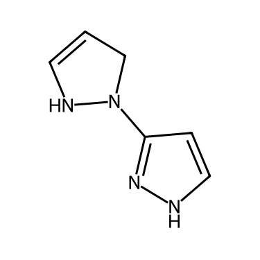 C1=CNN(c2cc[nH]n2)C1